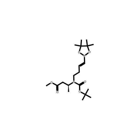 COC(=O)C[C@H](C)N(CC/C=C/B1OC(C)(C)C(C)(C)O1)C(=O)OC(C)(C)C